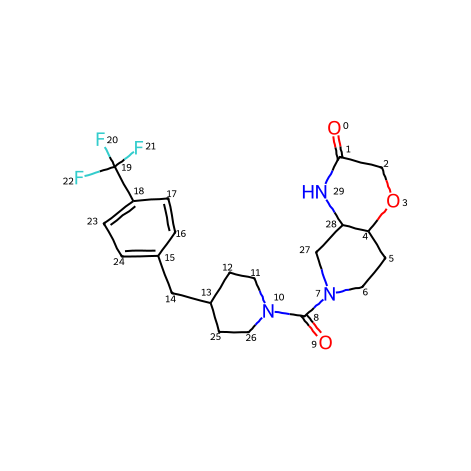 O=C1COC2CCN(C(=O)N3CCC(Cc4ccc(C(F)(F)F)cc4)CC3)CC2N1